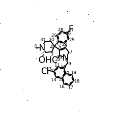 CN1CCC(C2=CCN(Cc3cc(Cl)cc4ccccc34)C2C=O)(c2ccc(F)cc2)CC1